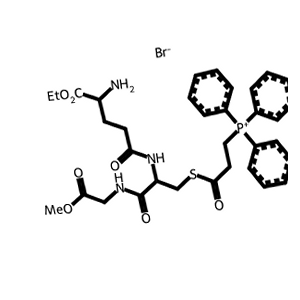 CCOC(=O)C(N)CCC(=O)NC(CSC(=O)CC[P+](c1ccccc1)(c1ccccc1)c1ccccc1)C(=O)NCC(=O)OC.[Br-]